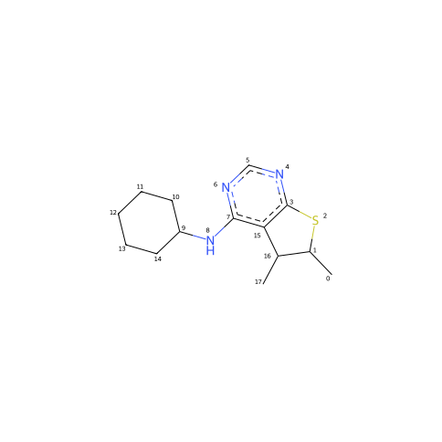 CC1Sc2ncnc(NC3CCCCC3)c2C1C